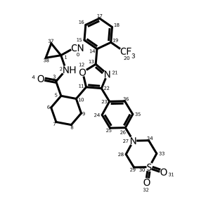 N#CC1(NC(=O)C2CCCCC2c2oc(-c3ccccc3C(F)(F)F)nc2-c2ccc(N3CCS(=O)(=O)CC3)cc2)CC1